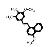 COc1cc(/C=C/c2ccc(OC)c3ccccc23)cc(C)c1C